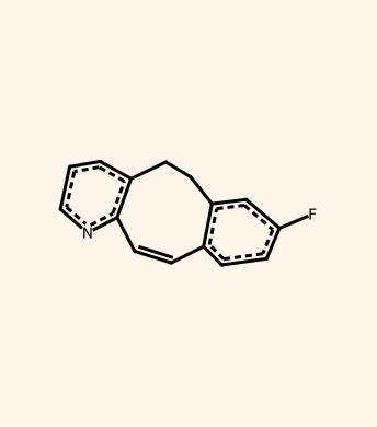 Fc1ccc2c(c1)CCc1cccnc1/C=C\2